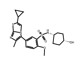 COc1ccc(-c2c(C)nc3sc(C4CC4)cn23)cc1S(=O)(=O)N[C@H]1CC[C@@H](O)CC1